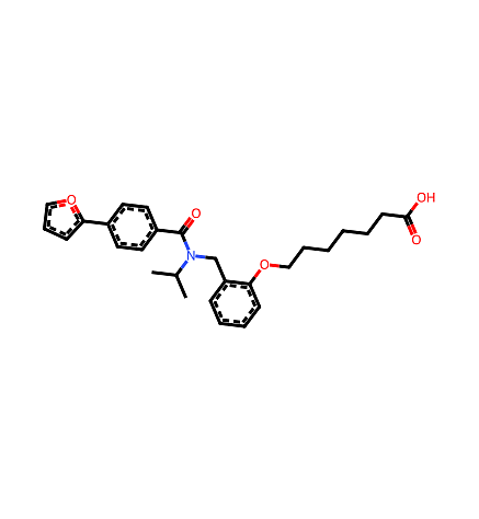 CC(C)N(Cc1ccccc1OCCCCCCC(=O)O)C(=O)c1ccc(-c2ccco2)cc1